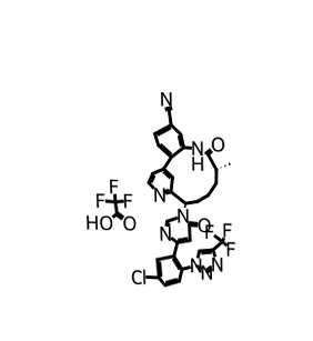 C[C@@H]1CCC[C@H](n2cnc(-c3cc(Cl)ccc3-n3cc(C(F)(F)F)nn3)cc2=O)c2cc(ccn2)-c2ccc(C#N)cc2NC1=O.O=C(O)C(F)(F)F